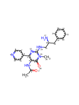 CC(=O)Nc1c(-c2ccncc2)nc(NC[C@@H](N)Cc2ccccc2)n(C)c1=O